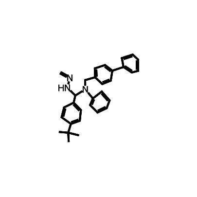 C=NNC(c1ccc(C(C)(C)C)cc1)N(Cc1ccc(-c2ccccc2)cc1)c1ccccc1